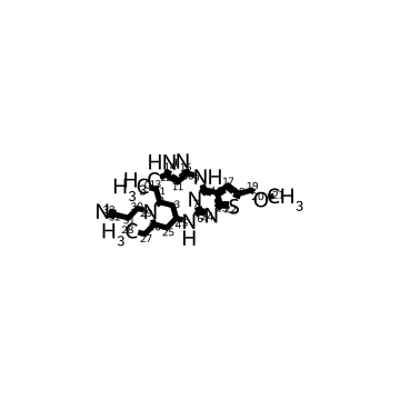 CCC1CC(Nc2nc(Nc3cc(C)[nH]n3)c3cc(COC)sc3n2)CC(CC)N1CCC#N